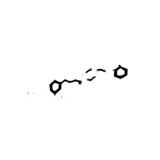 COc1ccc(CCCC(=O)N2CCN(CCOc3ccccc3F)CC2)cc1OC